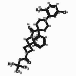 CC(C)(C)OC(=O)N1CC2(C1)CN(C(=O)C1(c3ccccc3)CCN(c3cc(Cl)nnc3N)CC1)C2